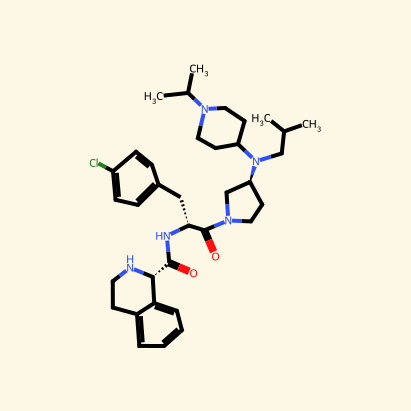 CC(C)CN(C1CCN(C(C)C)CC1)[C@H]1CCN(C(=O)[C@@H](Cc2ccc(Cl)cc2)NC(=O)[C@H]2NCCc3ccccc32)C1